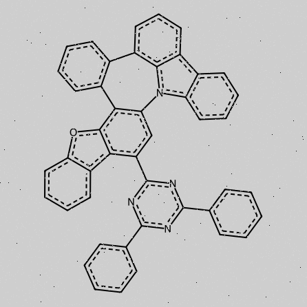 c1ccc(-c2nc(-c3ccccc3)nc(-c3cc4c(c5oc6ccccc6c35)-c3ccccc3-c3cccc5c6ccccc6n-4c35)n2)cc1